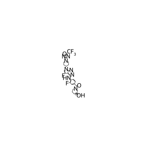 O=C(c1ccc(Nc2ncnc3c2c(F)cn3C2CCN(c3noc(C(F)(F)F)n3)CC2)c(F)c1)N1CCC[C@@H](O)C1